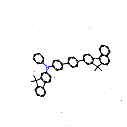 CC1(C)c2ccccc2-c2ccc(N(c3ccccc3)c3ccc(-c4ccc(-c5ccc6c(c5)C(C)(C)c5ccc7ccccc7c5-6)cc4)cc3)cc21